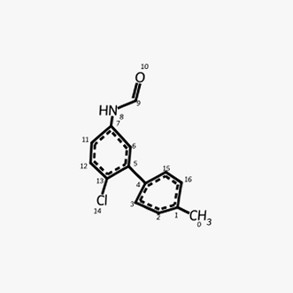 Cc1ccc(-c2cc(NC=O)ccc2Cl)cc1